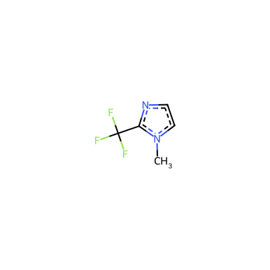 Cn1ccnc1C(F)(F)F